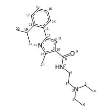 CCN(CC)CCNC(=O)c1sc(-c2ccccc2C(C)C)nc1C